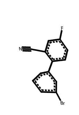 N#Cc1cc(F)ccc1-c1cccc(Br)c1